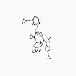 CC(C)(C)[C@@H](C(=O)N1C[C@H](O)C[C@H]1C(=O)NCCc1nccc(C2CC2)n1)N1C=CC(C2CC2)=CC1